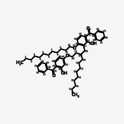 CCCCCCCCCCCCOc1ccc(C(=O)c2ccccc2)c(O)c1CC(CCCCCCCCC)CCOc1ccc(C(=O)c2ccccc2)c(O)c1